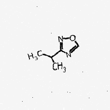 CC(C)c1ncon1